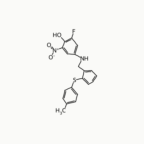 Cc1ccc(Sc2ccccc2CNc2cc(F)c(O)c([N+](=O)[O-])c2)cc1